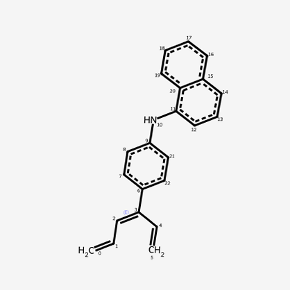 C=C/C=C(\C=C)c1ccc(Nc2cccc3ccccc23)cc1